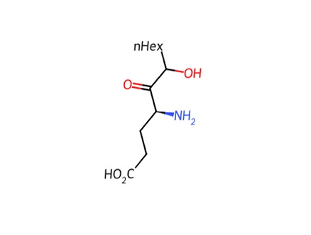 CCCCCCC(O)C(=O)[C@@H](N)CCC(=O)O